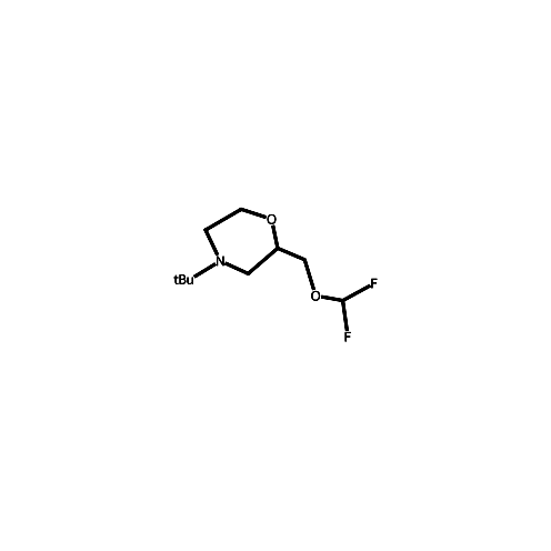 CC(C)(C)N1CCOC(COC(F)F)C1